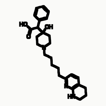 O=C(O)C(c1ccccc1)C1(O)CCN(CCCCCc2ccc3c(n2)NCCC3)CC1